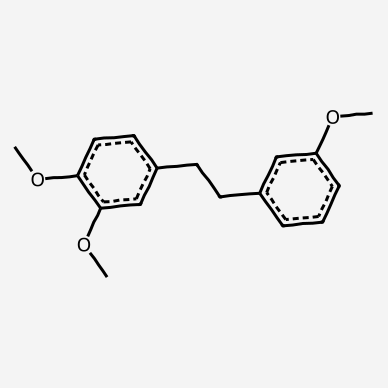 COc1cccc(CCc2ccc(OC)c(OC)c2)c1